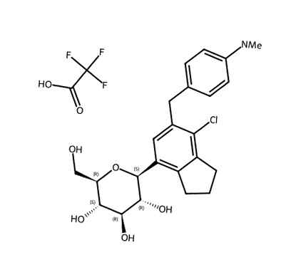 CNc1ccc(Cc2cc([C@@H]3O[C@H](CO)[C@@H](O)[C@H](O)[C@H]3O)c3c(c2Cl)CCC3)cc1.O=C(O)C(F)(F)F